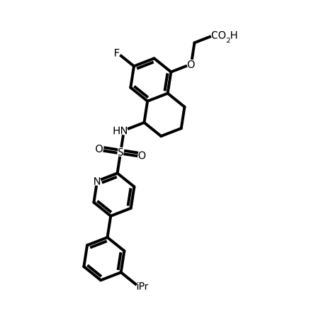 CC(C)c1cccc(-c2ccc(S(=O)(=O)NC3CCCc4c(OCC(=O)O)cc(F)cc43)nc2)c1